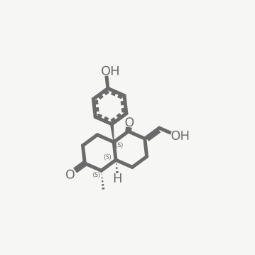 C[C@@H]1C(=O)CC[C@]2(c3ccc(O)cc3)C(=O)C(=CO)CC[C@@H]12